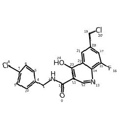 O=C(NCc1ccc(Cl)cc1)c1cnc2c(F)cc(CCl)cc2c1O